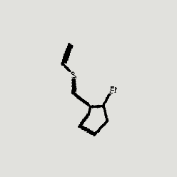 C=CSCC1CCCC1CC